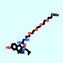 COCCOCCOCCOCCOCCNCC(=O)NC1c2ccc(O)cc2[C@@]2(C)CCN(CC3CC3)[C@H]1[C@@H]2C